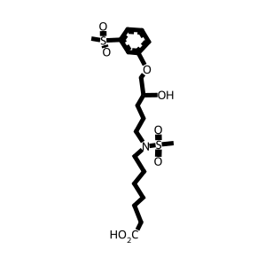 CS(=O)(=O)c1cccc(OCC(O)CCCN(CCCCCCC(=O)O)S(C)(=O)=O)c1